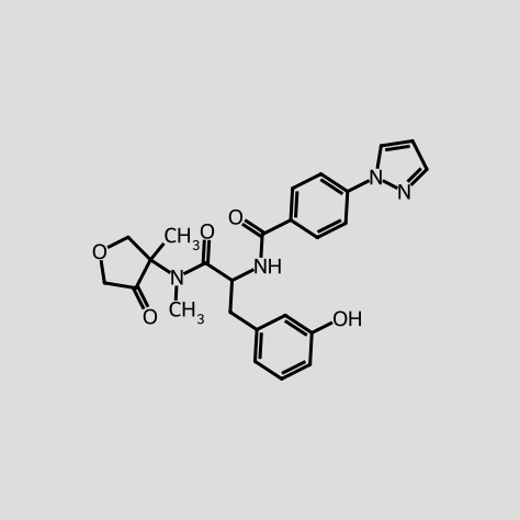 CN(C(=O)C(Cc1cccc(O)c1)NC(=O)c1ccc(-n2cccn2)cc1)C1(C)COCC1=O